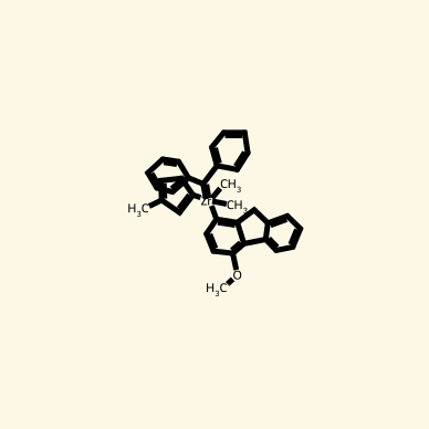 COc1cc[c]([Zr]([CH3])([CH3])([C]2=CC(C)=CC2)=[C](c2ccccc2)c2ccccc2)c2c1-c1ccccc1C2